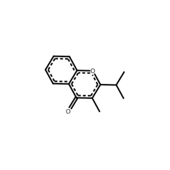 Cc1c(C(C)C)oc2ccccc2c1=O